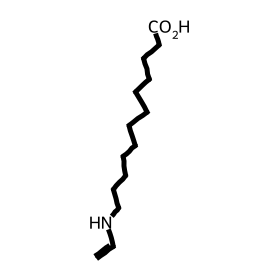 C=CNCCCCCCCCCCCC(=O)O